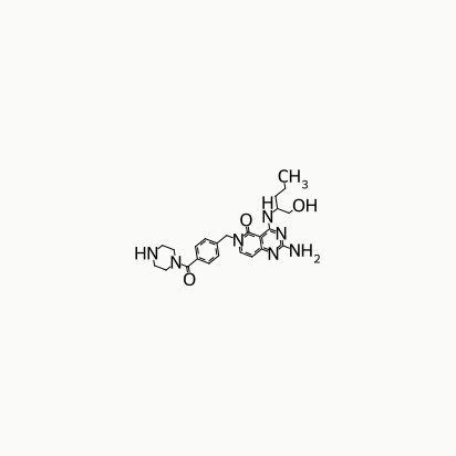 CCCC(CO)Nc1nc(N)nc2ccn(Cc3ccc(C(=O)N4CCNCC4)cc3)c(=O)c12